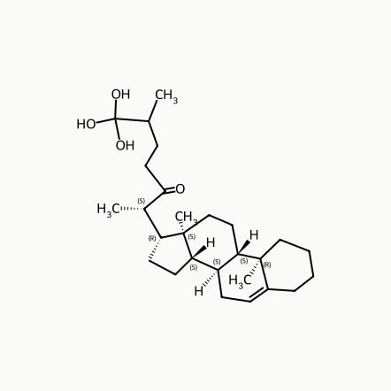 CC(CCC(=O)[C@@H](C)[C@H]1CC[C@H]2[C@@H]3CC=C4CCCC[C@]4(C)[C@H]3CC[C@]12C)C(O)(O)O